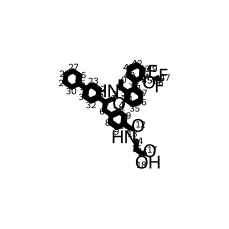 CC(NC(=O)C(Cc1ccc(C(=O)NCCC(=O)O)cc1)c1ccc(C2=CCCCC2)cc1)c1ccccc1-c1ccccc1OC(F)(F)F